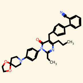 CCCc1nc(CC)n(-c2ccc(N3CCC4(CC3)OCCO4)cc2)c(=O)c1Cc1ccc(-c2ccccc2C#N)cc1